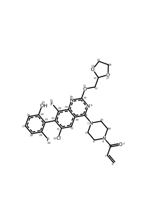 C=CC(=O)N1CCN(c2nc(OCC3OCCO3)nc3c(F)c(-c4c(O)cccc4F)c(Cl)cc23)CC1